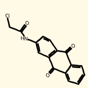 O=C(CCl)Nc1ccc2c(c1)C(=O)c1ccccc1C2=O